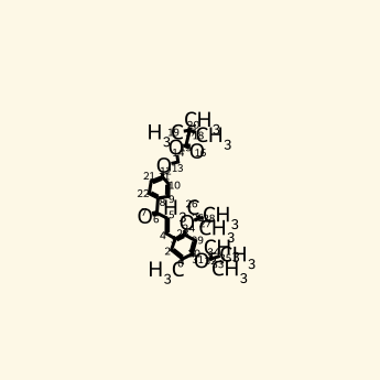 Cc1cc(C=CC(=O)c2ccc(OCOC(=O)C(C)(C)C)cc2)c(OC(C)(C)C)cc1OC(C)(C)C